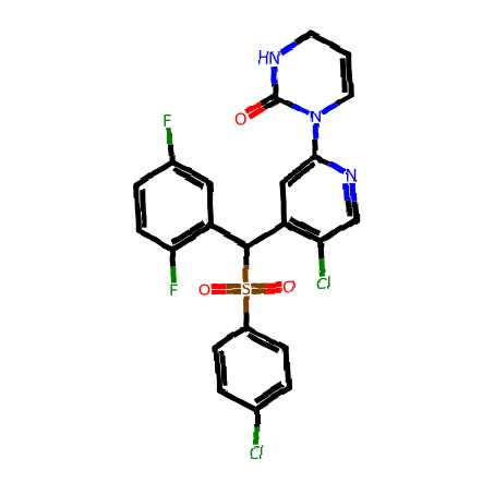 O=C1NCC=CN1c1cc(C(c2cc(F)ccc2F)S(=O)(=O)c2ccc(Cl)cc2)c(Cl)cn1